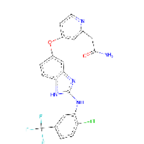 NC(=O)Cc1cc(Oc2ccc3[nH]c(Nc4cc(C(F)(F)F)ccc4Cl)nc3c2)ccn1